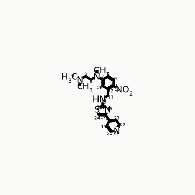 CN(C)CCN(C)c1ccc([N+](=O)[O-])c(CNc2nc(-c3ccncc3)cs2)c1